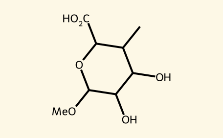 COC1OC(C(=O)O)C(C)C(O)C1O